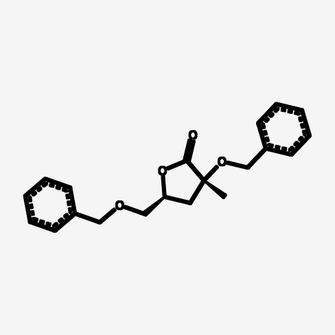 C[C@@]1(OCc2ccccc2)C[C@@H](COCc2ccccc2)OC1=O